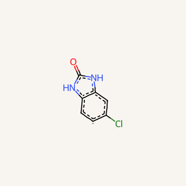 O=c1[nH]c2c[c]c(Cl)cc2[nH]1